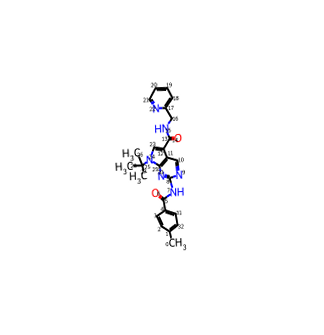 Cc1ccc(C(=O)Nc2ncc3c(C(=O)NCc4ccccn4)cn(C(C)(C)C)c3n2)cc1